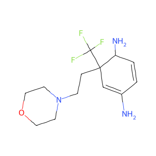 NC1=CC(CCN2CCOCC2)(C(F)(F)F)C(N)C=C1